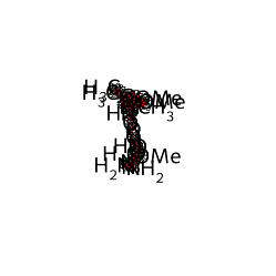 CCC(C(=O)N1CCCCC1C(=O)O[C@H](CCc1ccc(C)c(C)c1)c1cccc(OCC(=O)NCCCOCCOCCOCCCNC(=O)COc2c(C)cc(Cc3cnc(N)nc3N)cc2OC)c1)c1cc(C)c(OC)c(OC)c1